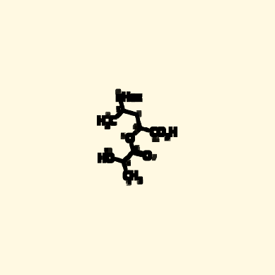 CCCCCCC(C)CC(OC(=O)C(C)O)C(=O)O